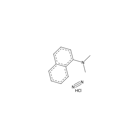 CN(C)c1cccc2ccccc12.Cl.N#N